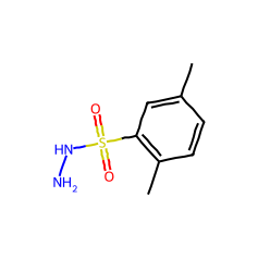 Cc1ccc(C)c(S(=O)(=O)NN)c1